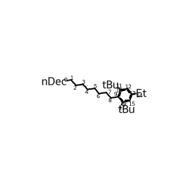 CCCCCCCCCCCCCCCCCCc1c(C(C)(C)C)cc(CC)cc1C(C)(C)C